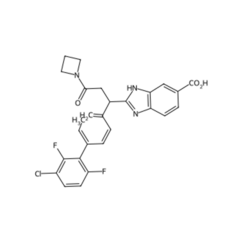 C=C(/C=C\C(=C/C)c1c(F)ccc(Cl)c1F)C(CC(=O)N1CCC1)c1nc2ccc(C(=O)O)cc2[nH]1